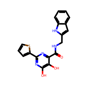 O=C(NCc1cc2ccccc2[nH]1)c1nc(-c2cccs2)nc(O)c1O